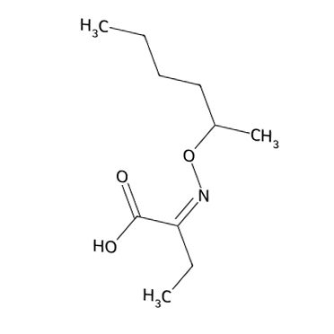 CCCCC(C)ON=C(CC)C(=O)O